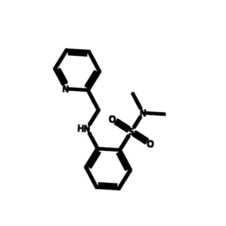 CN(C)S(=O)(=O)c1ccccc1NCc1ccccn1